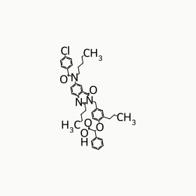 CCCCCN(C(=O)c1ccc(Cl)cc1)c1ccc2nc(CCCC)n(Cc3ccc(OC(C(=O)O)c4ccccc4)c(CCC)c3)c(=O)c2c1